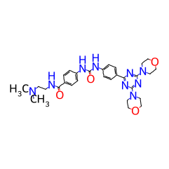 CN(C)CCNC(=O)c1ccc(NC(=O)Nc2ccc(-c3nc(N4CCOCC4)nc(N4CCOCC4)n3)cc2)cc1